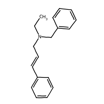 CCN(CC=Cc1ccccc1)Cc1ccccc1